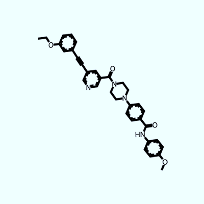 CCOc1cccc(C#Cc2cncc(C(=O)N3CCN(c4ccc(C(=O)Nc5ccc(OC)cc5)cc4)CC3)c2)c1